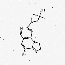 CC(C)(O)CNc1ncc2c(n1)N1CCN=C1C(Br)=C2